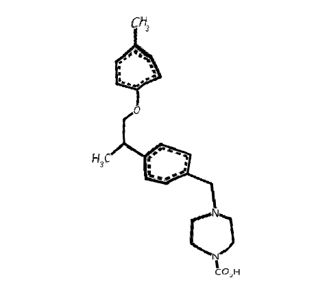 Cc1ccc(OCC(C)c2ccc(CN3CCN(C(=O)O)CC3)cc2)cc1